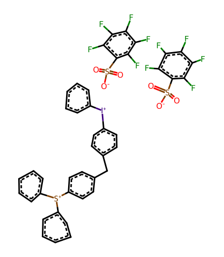 O=S(=O)([O-])c1c(F)c(F)c(F)c(F)c1F.O=S(=O)([O-])c1c(F)c(F)c(F)c(F)c1F.c1ccc([I+]c2ccc(Cc3ccc([S+](c4ccccc4)c4ccccc4)cc3)cc2)cc1